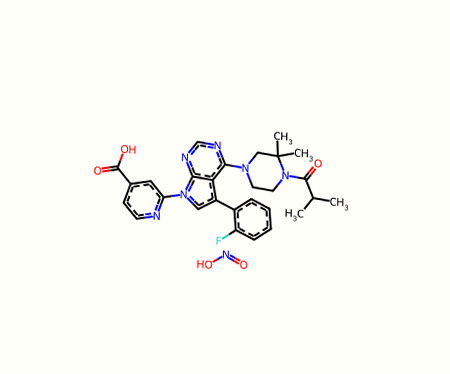 CC(C)C(=O)N1CCN(c2ncnc3c2c(-c2ccccc2F)cn3-c2cc(C(=O)O)ccn2)CC1(C)C.O=NO